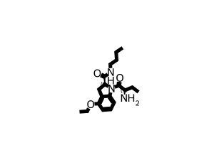 CCCCNC(=O)[C@@H]1Cc2c(OCC)cccc2N1C(=O)[C@@H](N)CC